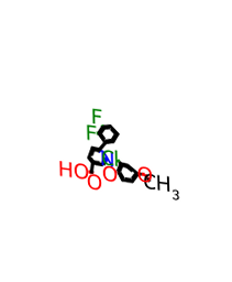 COc1ccc(Oc2nc(-c3cccc(F)c3F)ccc2C(=O)O)c(Cl)c1